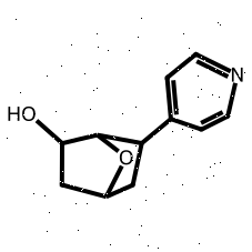 OC1CC2CC(c3ccncc3)C1O2